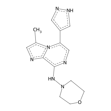 Cc1cnc2c(NN3CCOCC3)ncc(-c3cn[nH]c3)n12